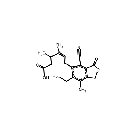 CCc1c(C)c2c(c(C#N)c1CC=C(C)C(C)CC(=O)O)C(=O)OC2